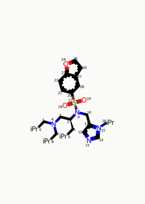 CC(C)C[C@@H](CN(CC(C)C)CC(C)C)N(Cc1cncn1C(C)C)S(=O)(=O)c1ccc2occc2c1